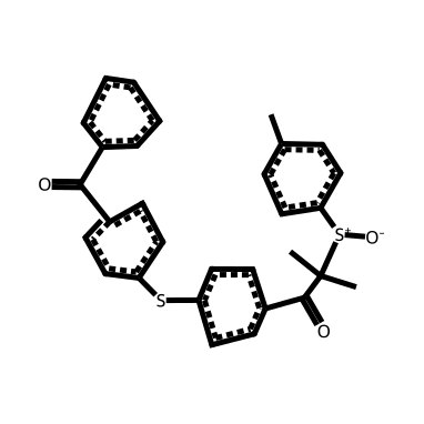 Cc1ccc([S+]([O-])C(C)(C)C(=O)c2ccc(Sc3ccc(C(=O)c4ccccc4)cc3)cc2)cc1